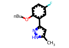 CCCCOc1ccc(F)cc1-c1cc(C)[nH]n1